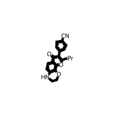 CC(C)c1oc2c3c(ccc2c(=O)c1-c1ccc(C#N)cc1)NCCO3